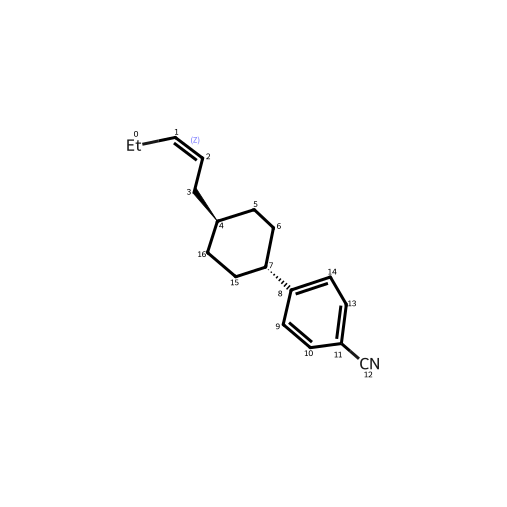 CC/C=C\C[C@H]1CC[C@H](c2ccc(C#N)cc2)CC1